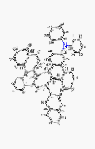 c1ccc(-c2cc(-c3ccc4ccccc4c3)c3c4ccccc4c4cc(N(c5ccccc5)c5ccccc5)ccc4c3c2-c2ccc3ccccc3c2)cc1